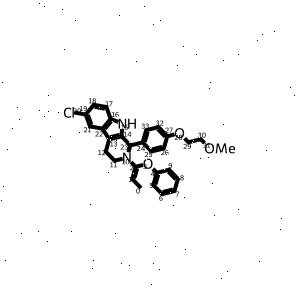 CC=C(Oc1ccccc1)N1CCc2c([nH]c3ccc(Cl)cc23)C1c1ccc(OCCOC)cc1